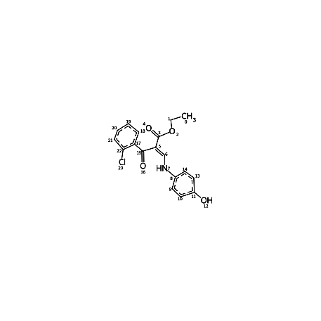 CCOC(=O)/C(=C/Nc1ccc(O)cc1)C(=O)c1ccccc1Cl